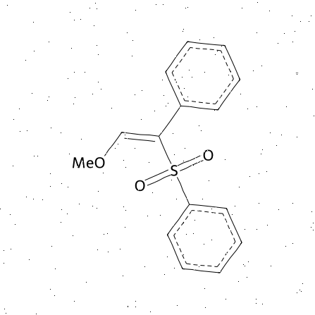 COC=C(c1ccccc1)S(=O)(=O)c1ccccc1